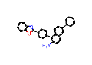 Nc1ccc2cc(-c3ccccc3)ccc2c1-c1ccc(-c2nc3ccccc3o2)cc1